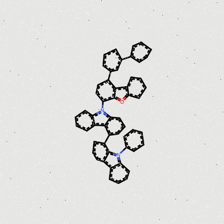 c1ccc(-c2cccc(-c3ccc(-n4c5ccccc5c5c(-c6cccc7c8ccccc8n(-c8ccccc8)c67)cccc54)c4oc5ccccc5c34)c2)cc1